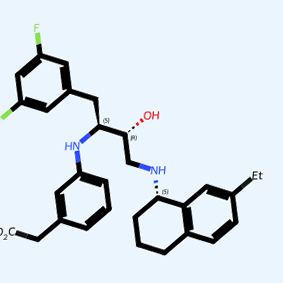 CCc1ccc2c(c1)[C@@H](NC[C@@H](O)[C@H](Cc1cc(F)cc(F)c1)Nc1cccc(CC(=O)O)c1)CCC2